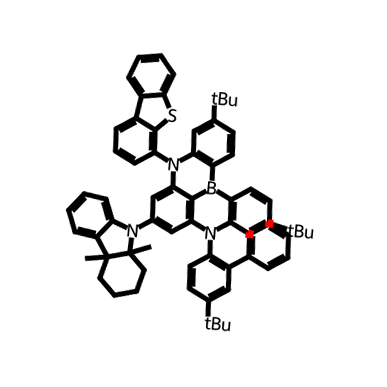 CC(C)(C)c1ccc(N2c3cc(C(C)(C)C)ccc3B3c4ccc(C(C)(C)C)cc4N(c4cccc5c4sc4ccccc45)c4cc(N5c6ccccc6C6(C)CCCCC56C)cc2c43)c(-c2ccccc2)c1